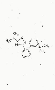 CC(C)C1NC(c2ccccc2-c2cccc3c2C3(C)C)=NS1